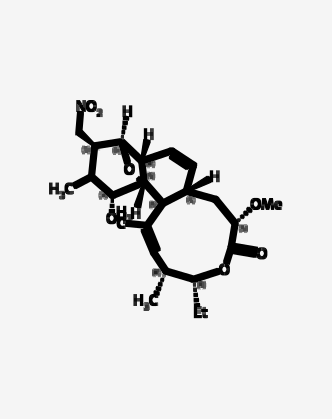 CC[C@H]1OC(=O)[C@@H](OC)C[C@H]2C=C[C@H]3[C@H]4O[C@]2(C(C)=C[C@H]1C)[C@@H]3[C@H](O)C(C)[C@H]4C[N+](=O)[O-]